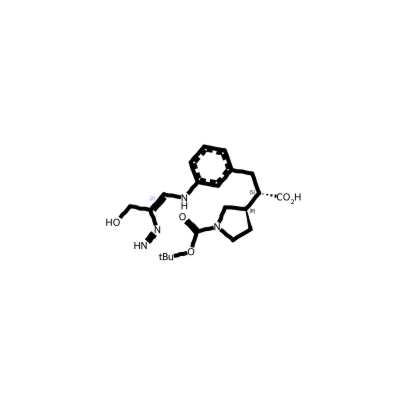 CC(C)(C)OC(=O)N1CC[C@H]([C@H](Cc2cccc(N/C=C(/CO)N=N)c2)C(=O)O)C1